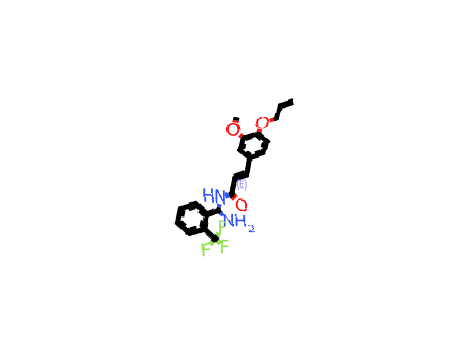 C=CCOc1ccc(/C=C/C(=O)NC(N)c2ccccc2C(F)(F)F)cc1OC